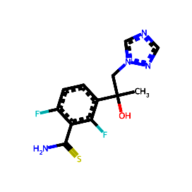 CC(O)(Cn1cncn1)c1ccc(F)c(C(N)=S)c1F